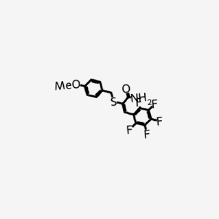 COc1ccc(CS/C(=C/c2c(F)c(F)c(F)c(F)c2F)C(N)=O)cc1